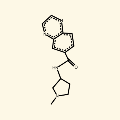 CN1CCC(NC(=O)c2ccc3nccnc3c2)C1